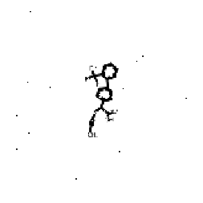 CC#CCC(C(=O)O)c1ccc(-c2ccccc2C(F)(F)F)cc1